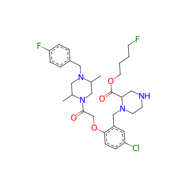 CC1CN(C(=O)COc2ccc(Cl)cc2CN2CCNCC2C(=O)OCCCCF)C(C)CN1Cc1ccc(F)cc1